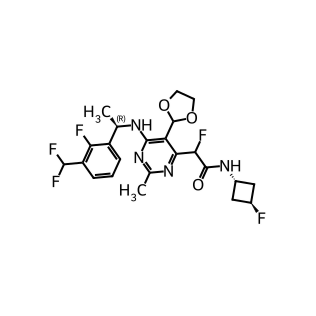 Cc1nc(N[C@H](C)c2cccc(C(F)F)c2F)c(C2OCCO2)c(C(F)C(=O)N[C@H]2C[C@H](F)C2)n1